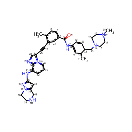 Cc1ccc(C(=O)NC2=CC(C(F)(F)F)C(CN3CCN(C)CC3)C=C2)cc1C#Cc1cnc2c(Nc3cc4n(n3)CCNC4)cccn12